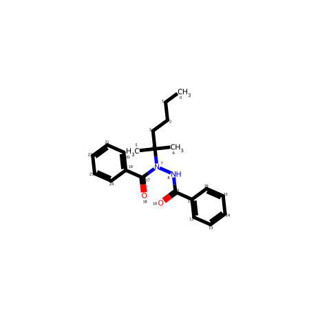 CCCCC(C)(C)N(NC(=O)c1ccccc1)C(=O)c1ccccc1